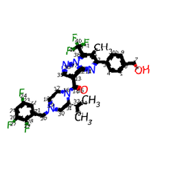 Cc1c(-c2ccc(CO)cc2)nc2c(C(=O)N3CCN(Cc4cc(F)cc(F)c4F)C[C@H]3C(C)C)cnn2c1C(F)(F)F